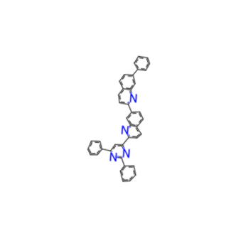 c1ccc(-c2ccc3ccc(-c4ccc5ccc(-c6cc(-c7ccccc7)nc(-c7ccccc7)n6)nc5c4)nc3c2)cc1